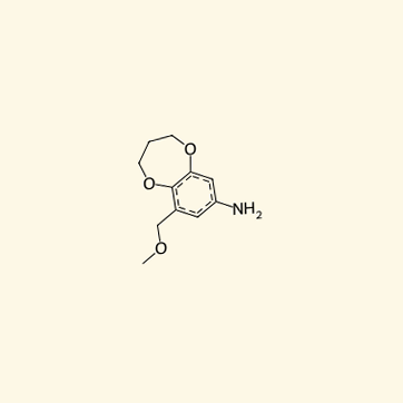 COCc1cc(N)cc2c1OCCCO2